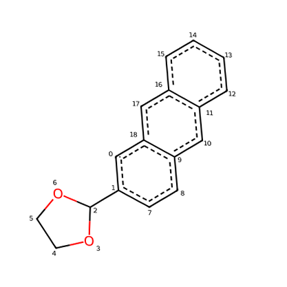 [c]1c(C2OCCO2)ccc2cc3ccccc3cc12